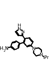 CC(C)N1CCN(c2ccc(-c3cc[nH]n3)c(-c3ccc(N)cc3)c2)CC1